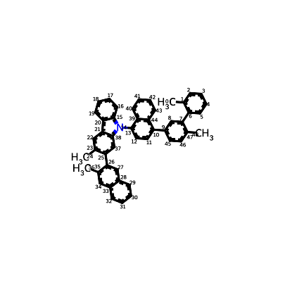 Cc1ccccc1-c1cc(-c2ccc(-n3c4ccccc4c4cc(C)c(-c5cc6ccccc6cc5C)cc43)c3ccccc23)ccc1C